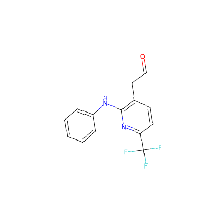 O=CCc1ccc(C(F)(F)F)nc1Nc1ccccc1